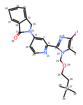 Cc1c(I)nc(-c2cc(N3Cc4ccccc4C3=O)ccn2)n1COCC[Si](C)(C)C